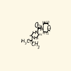 CC(C)N1CCN(C(=O)N2CCOCC2)CC1